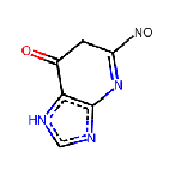 O=NC1=Nc2nc[nH]c2C(=O)C1